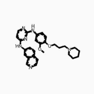 COc1cc(Nc2nccc(Nc3ccc4ccncc4c3)n2)ccc1OCCCN1CCCCC1